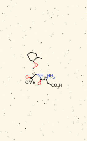 COC(=O)[C@H](COC1CCCCC1C)NC(=O)[C@@H](N)CC(=O)O